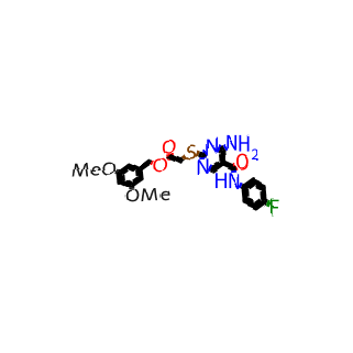 COc1cc(COC(=O)CSc2ncc(C(=O)Nc3ccc(F)cc3)c(N)n2)cc(OC)c1